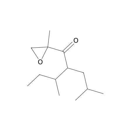 CCC(C)C(CC(C)C)C(=O)C1(C)CO1